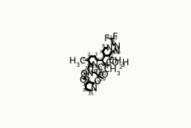 Cc1ccc(C(c2ccn3c(C(F)F)nnc3c2C)C(C)(C)C(=O)O)nc1CN1CC2(COC2)Oc2ncccc2S1(=O)=O